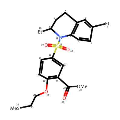 CCc1ccc2c(c1)CCC(CC)N2S(=O)(=O)c1ccc(OCCSC)c(C(=O)OC)c1